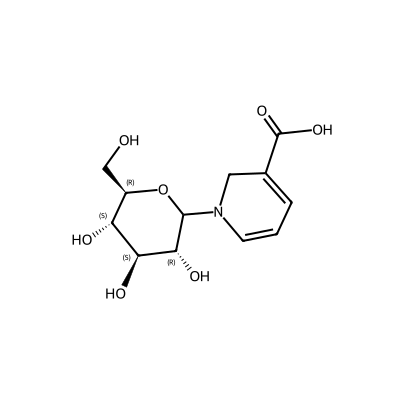 O=C(O)C1=CC=CN(C2O[C@H](CO)[C@@H](O)[C@H](O)[C@H]2O)C1